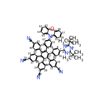 CC(C)(C)c1nc(-c2ccc(-c3c(-c4ccc(C#N)cc4)c(-c4ccc(C#N)cc4)c(-c4ccc(C#N)cc4)c(-c4ccc(C#N)cc4)c3-c3ccc(N4c5ccccc5Oc5ccccc54)cc3)cc2)nc(C(C)(C)C)n1